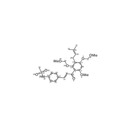 COCOc1cc(OC)c(C(=O)C=Cc2ccc(NS(C)(=O)=O)cc2)c(OCOC)c1CC=C(C)C